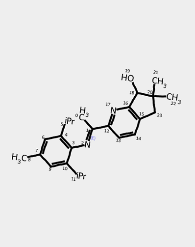 C/C(=N\c1c(C(C)C)cc(C)cc1C(C)C)c1ccc2c(n1)C(O)C(C)(C)C2